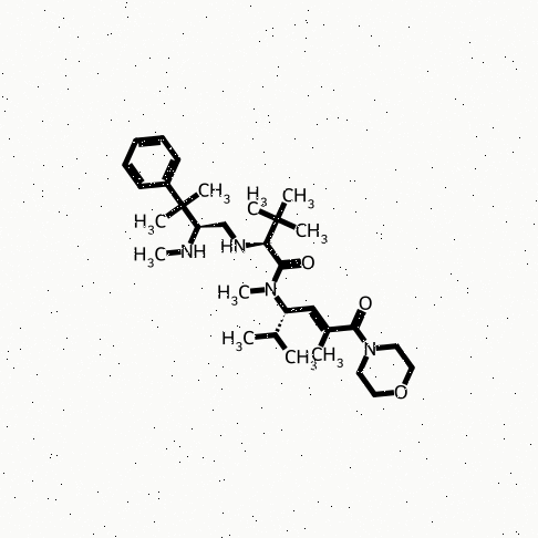 CN[C@H](CN[C@H](C(=O)N(C)[C@H](/C=C(\C)C(=O)N1CCOCC1)C(C)C)C(C)(C)C)C(C)(C)c1ccccc1